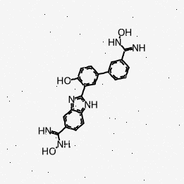 N=C(NO)c1cccc(-c2ccc(O)c(-c3nc4cc(C(=N)NO)ccc4[nH]3)c2)c1